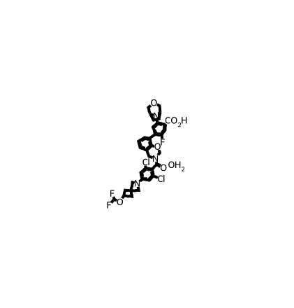 O.O=C(O)c1cc(F)c(-c2cccc3c2OCN(C(=O)c2c(Cl)cc(N4CC5(CC(OC(F)F)C5)C4)cc2Cl)C3)cc1N1C2CCC1COC2